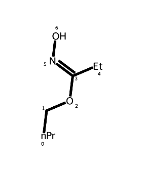 [CH2]CCCOC(CC)=NO